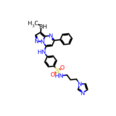 CBc1cnn2c(Nc3ccc(S(=O)(=O)NCCCn4ccnc4)cc3)cc(-c3ccccc3)nc12